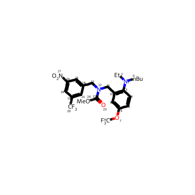 CCCCN(CC)c1ccc(OC(F)(F)F)cc1CN(Cc1cc([N+](=O)[O-])cc(C(F)(F)F)c1)C(=O)OC